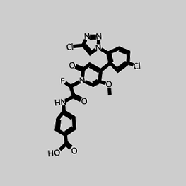 COc1cn(C(F)C(=O)Nc2ccc(C(=O)O)cc2)c(=O)cc1-c1cc(Cl)ccc1-n1cc(Cl)nn1